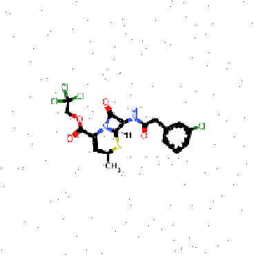 CC1C=C(C(=O)OCC(Cl)(Cl)Cl)N2C(=O)C(NC(=O)Cc3cccc(Cl)c3)[C@H]2S1